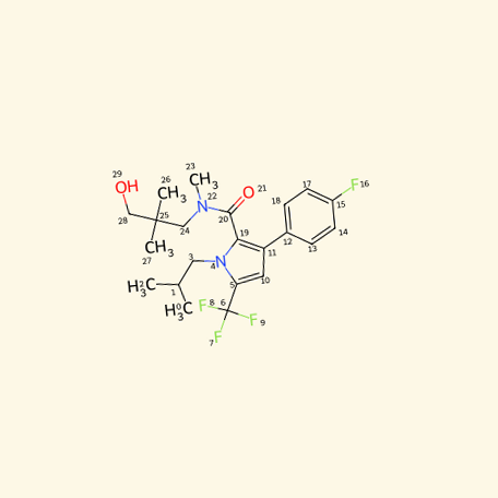 CC(C)Cn1c(C(F)(F)F)cc(-c2ccc(F)cc2)c1C(=O)N(C)CC(C)(C)CO